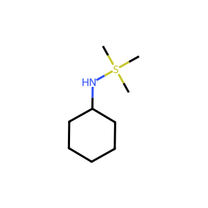 CS(C)(C)NC1CCCCC1